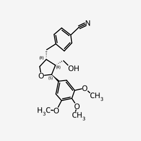 COc1cc([C@H]2OC[C@H](Cc3ccc(C#N)cc3)[C@@H]2CO)cc(OC)c1OC